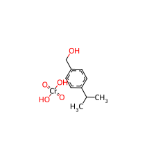 CC(C)c1ccc(CO)cc1.[O]=[Cr](=[O])([OH])[OH]